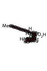 CCCCCOC(=O)[C@@H](C)C[C@H](Cc1ccccc1)NC(=O)c1csc([C@@H](C[C@H](C(C)C)N(C)C(=O)[C@@H](NC(=O)[C@H]2CCCC[N+]2(C)Cc2ccc(NC(=O)[C@H](CCC(=O)O)NC(=O)[C@@H](NC(=O)[C@@H](N)CCCCNC(=O)CCOCCOCCOCCOCCOCCOCCOCCOCCOCCOCCOCCOC)C(C)C)cc2)[C@@H](C)CC)OC(C)=O)n1